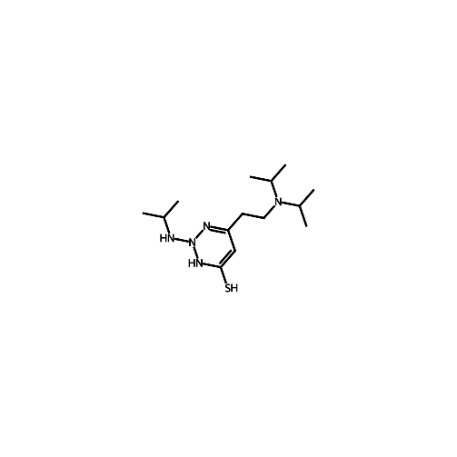 CC(C)NN1N=C(CCN(C(C)C)C(C)C)C=C(S)N1